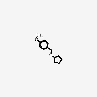 COc1ccc(COC2CCCC2)cc1